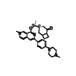 C[C@@H](Oc1nc(-c2ccc(N3CCN(C)CC3)cc2)cc2c1=CN(C)C=C=2)[C@@H]1CC(=O)C2CCC2C1